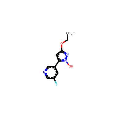 CCOC(=O)COc1cc(-c2cncc(F)c2)n(O)n1